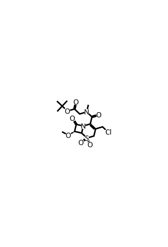 CO[C@H]1C(=O)N2C(C(=O)N(C)CC(=O)OC(C)(C)C)=C(CCl)CS(=O)(=O)C12